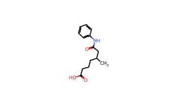 CC(CCCC(=O)O)CC(=O)Nc1ccccc1